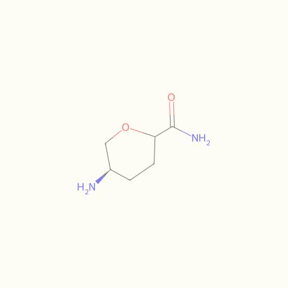 NC(=O)C1CC[C@@H](N)CO1